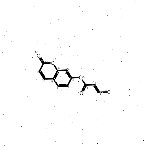 O=C(C=CCl)Oc1ccc2ccc(=O)oc2c1